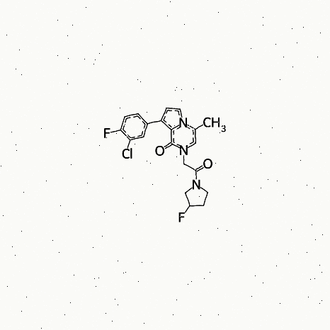 Cc1cn(CC(=O)N2CCC(F)C2)c(=O)c2c(-c3ccc(F)c(Cl)c3)ccn12